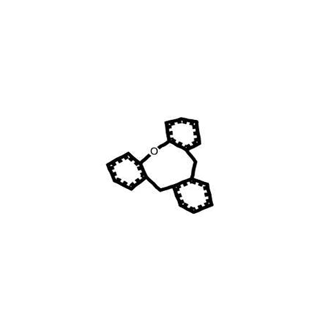 c1ccc2c(c1)Cc1ccccc1Oc1ccccc1C2